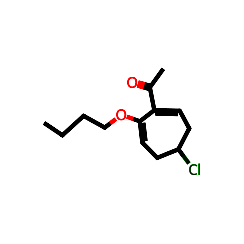 CCCCOC1=CCC(Cl)CC=C1C(C)=O